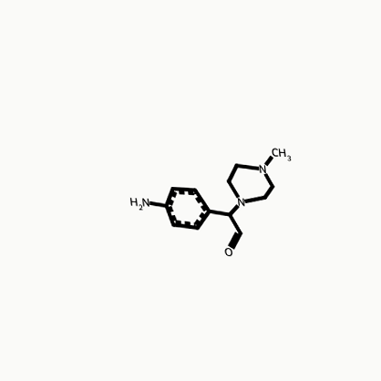 CN1CCN(C(C=O)c2ccc(N)cc2)CC1